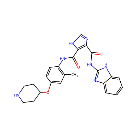 Cc1cc(OC2CCNCC2)ccc1NC(=O)c1[nH]cnc1C(=O)Nc1nc2ccccc2[nH]1